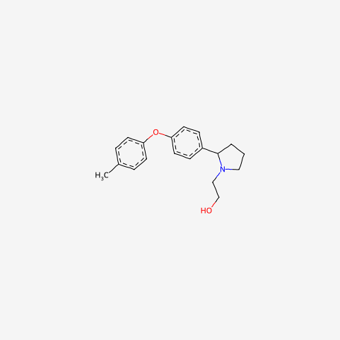 Cc1ccc(Oc2ccc(C3CCCN3CCO)cc2)cc1